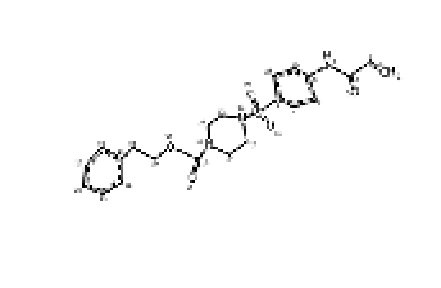 C=CC(=O)Nc1ccc(S(=O)(=O)N2CCN(C(=O)OCCc3ccccc3)CC2)cc1